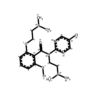 CCOc1cccc(OCCN(C)C)c1C(=O)N(CCN(C)C)c1ncc(Cl)cn1